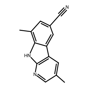 Cc1cnc2[nH]c3c(C)cc(C#N)cc3c2c1